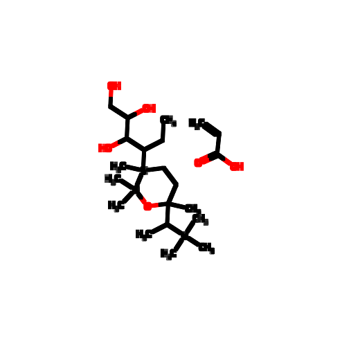 C=CC(=O)O.CCC(C(O)C(O)CO)[Si]1(C)CCC(C)(C(C)[Si](C)(C)C)O[Si]1(C)C